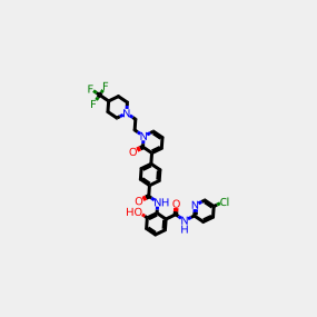 O=C(Nc1c(O)cccc1C(=O)Nc1ccc(Cl)cn1)c1ccc(-c2cccn(CCN3CCC(C(F)(F)F)CC3)c2=O)cc1